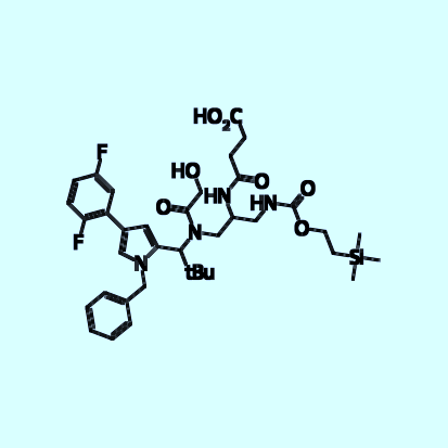 CC(C)(C)C(c1cc(-c2cc(F)ccc2F)cn1Cc1ccccc1)N(CC(CNC(=O)OCC[Si](C)(C)C)NC(=O)CCC(=O)O)C(=O)CO